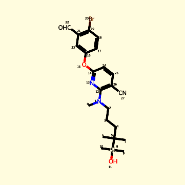 CN(CCCC(C)(C)[Si](C)(C)O)c1nc(Oc2ccc(Br)c(C=O)c2)ccc1C#N